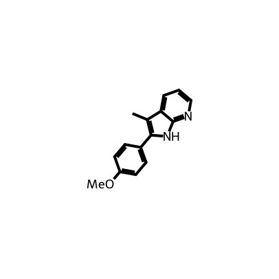 COc1ccc(-c2[nH]c3ncccc3c2C)cc1